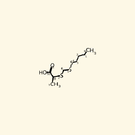 CCCCSSCSC(C)C(=O)O